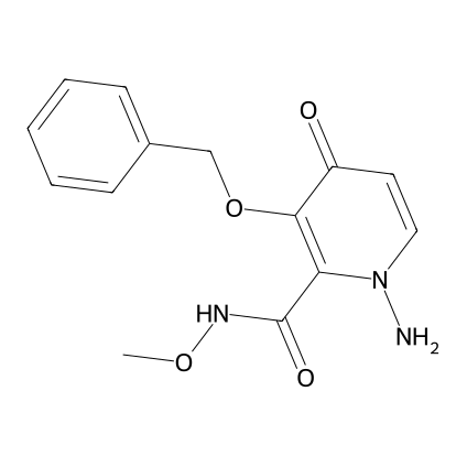 CONC(=O)c1c(OCc2ccccc2)c(=O)ccn1N